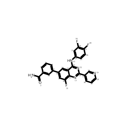 NC(=O)c1cccc(-c2cc(F)c3nc(-c4cccnc4)nc(Nc4ccc(F)c(F)c4)c3c2)c1